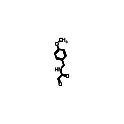 COc1ccc(CNC(=O)C=O)cc1